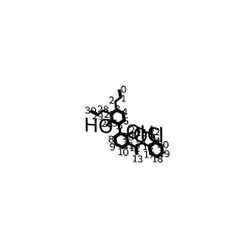 C=CCc1ccc(-c2cccc(C(=C)C(=O)c3ccccc3Cl)c2O)c(O)c1CC=C